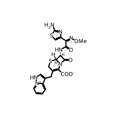 CO/N=C(\C(=O)N[C@@H]1C(=O)N2C(C(=O)[O-])=C(Cc3c[nH][n+]4ccccc34)CS[C@H]12)c1csc(N)n1